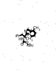 Cc1cccn2c(C(C)(CC(C)C)NC(=O)OC(C)(C)C)ncc12